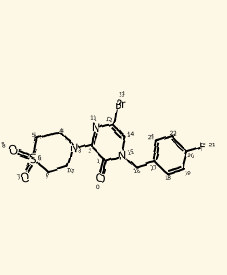 O=c1c(N2CCS(=O)(=O)CC2)nc(Br)cn1Cc1ccc(F)cc1